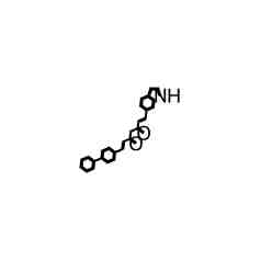 O=C(/C=C/c1ccc(-c2ccccc2)cc1)CC(=O)/C=C/c1ccc2cc[nH]c2c1